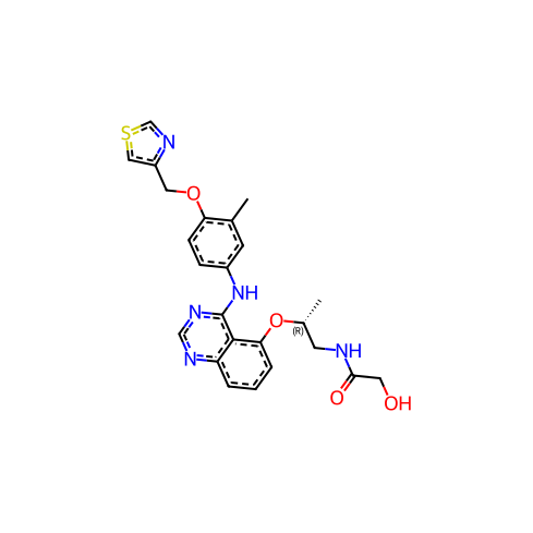 Cc1cc(Nc2ncnc3cccc(O[C@H](C)CNC(=O)CO)c23)ccc1OCc1cscn1